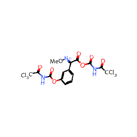 CO/N=C(/C(=O)OC(=O)NC(=O)C(Cl)(Cl)Cl)c1cccc(OC(=O)NC(=O)C(Cl)(Cl)Cl)c1